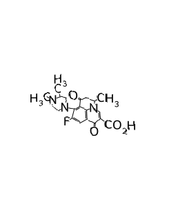 CC1CN(c2c(F)cc3c(=O)c(C(=O)O)cn4c3c2C(=O)CC4C)CCN1C